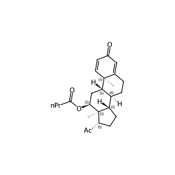 CCCC(=O)O[C@H]1C[C@H]2[C@@H](CCC3=CC(=O)C=C[C@@]32C)[C@@H]2CC[C@H](C(C)=O)[C@@]12C